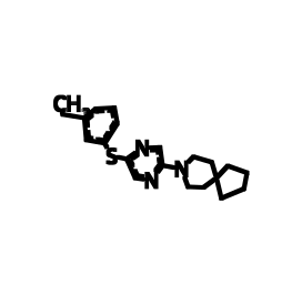 CCc1cccc(Sc2cnc(N3CCC4(CCCC4)CC3)cn2)c1